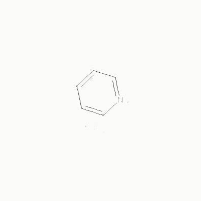 [CaH2].c1ccncc1